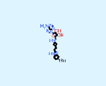 CC(C)(C)c1ccc2[nH]c(CCC3CC(NC[C@H]4O[C@@H](n5cnc6c(N)ncnc65)[C@H](O)[C@@H]4O)C3)nc2c1